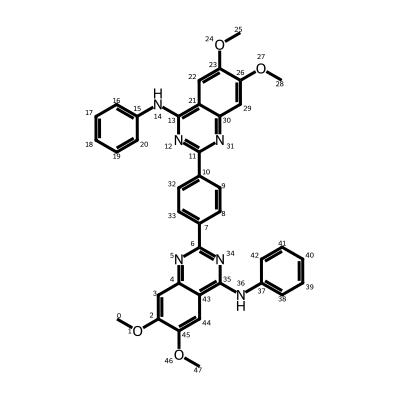 COc1cc2nc(-c3ccc(-c4nc(Nc5ccccc5)c5cc(OC)c(OC)cc5n4)cc3)nc(Nc3ccccc3)c2cc1OC